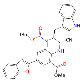 COC(=O)c1cc(-c2cc3ccccc3o2)ccc1N[C@@H](C#N)[C@H](Cc1c[nH]c2ccccc12)NC(=O)OC(C)(C)C